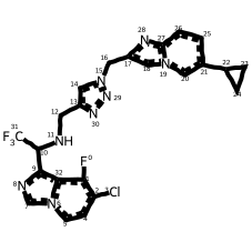 Fc1c(Cl)ccn2cnc(C(NCc3cn(Cc4cn5cc(C6CC6)ccc5n4)nn3)C(F)(F)F)c12